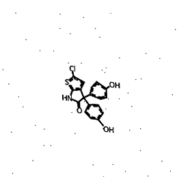 O=C1Nc2sc(Cl)cc2C1(c1ccc(O)cc1)c1ccc(O)cc1